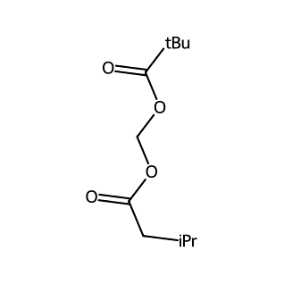 CC(C)CC(=O)OCOC(=O)C(C)(C)C